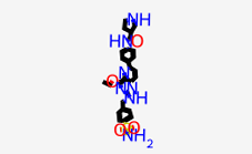 CCOc1nc(NCc2ccc(S(N)(=O)=O)cc2)nc2ccc(-c3ccc(NC(=O)C4CCNC4)cc3)nc12